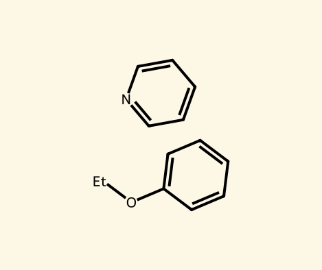 CCOc1ccccc1.c1ccncc1